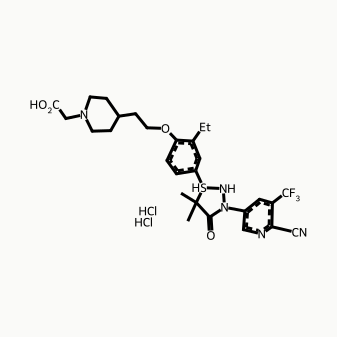 CCc1cc([SH]2NN(c3cnc(C#N)c(C(F)(F)F)c3)C(=O)C2(C)C)ccc1OCCC1CCN(CC(=O)O)CC1.Cl.Cl